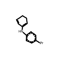 CC(C)c1ccc(NC2=CCCC=C2)cc1